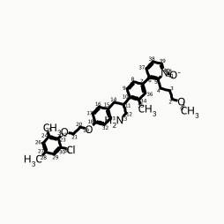 COCCCc1c(-c2ccc(C(CN)Cc3ccc(OCCOc4c(C)cc(C)cc4Cl)cc3)c(C)c2)ccc[n+]1[O-]